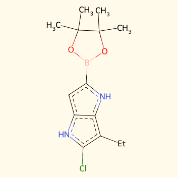 CCc1c(Cl)[nH]c2cc(B3OC(C)(C)C(C)(C)O3)[nH]c12